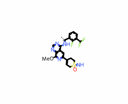 COc1nc(C2=CCS(=N)(=O)CC2)cc2c(N[C@H](C)c3cccc(C(F)F)c3F)ncnc12